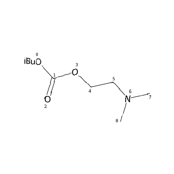 CC(C)COC(=O)OCCN(C)C